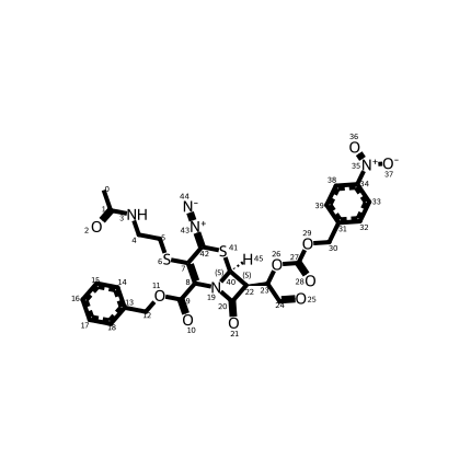 CC(=O)NCCSC1=C(C(=O)OCc2ccccc2)N2C(=O)[C@H](C(C=O)OC(=O)OCc3ccc([N+](=O)[O-])cc3)[C@@H]2SC1=[N+]=[N-]